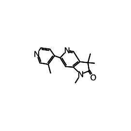 Cc1cnccc1-c1cc2c(cn1)C(C)(C)C(=O)N2C